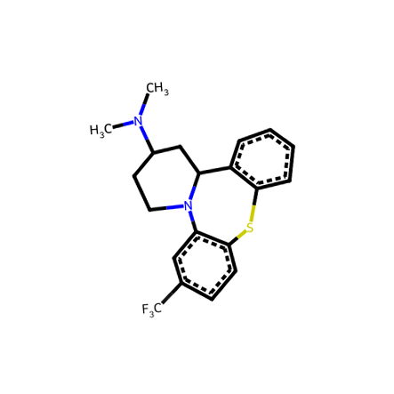 CN(C)C1CCN2c3cc(C(F)(F)F)ccc3Sc3ccccc3C2C1